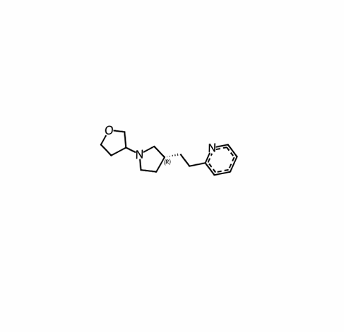 c1ccc(CC[C@@H]2CCN(C3CCOC3)C2)nc1